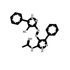 CC(=N)Nc1[nH]nc(-c2ccccc2)c1/N=N/c1n[nH]c(-c2ccccc2)c1C#N